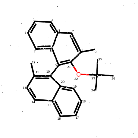 Cc1cc2ccccc2c(-c2c(C)ccc3ccccc23)c1OC(C)(C)C